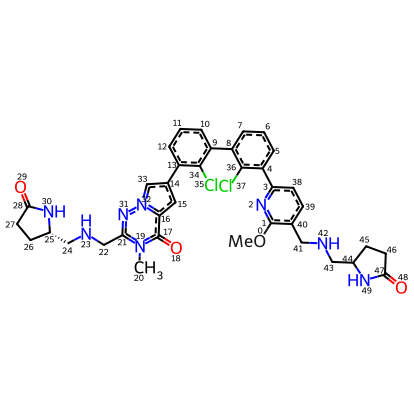 COc1nc(-c2cccc(-c3cccc(-c4cc5c(=O)n(C)c(CNC[C@@H]6CCC(=O)N6)nn5c4)c3Cl)c2Cl)ccc1CNCC1CCC(=O)N1